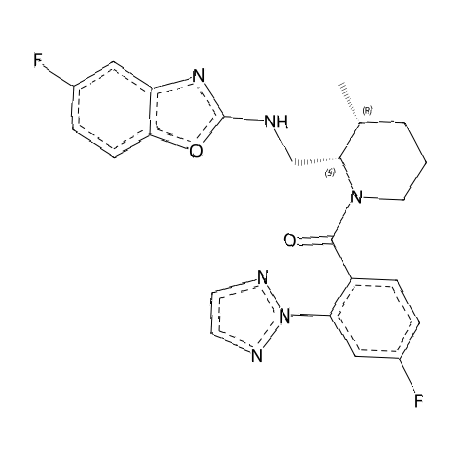 C[C@@H]1CCCN(C(=O)c2ccc(F)cc2-n2nccn2)[C@@H]1CNc1nc2cc(F)ccc2o1